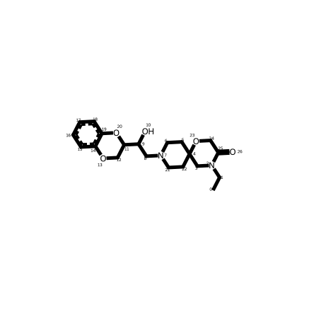 CCN1CC2(CCN(CC(O)C3COc4ccccc4O3)CC2)OCC1=O